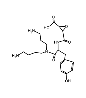 NCCCCN(CCCN)C(=O)C(Cc1ccc(O)cc1)NC(=O)C1OC1C(=O)O